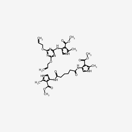 C=CCOc1nc(Nc2c[nH]c(C)c2C(=O)OC)nc(OCC=C)n1.COC(=O)c1c(NC(=O)CCCCC(=O)Nc2c[nH]c(C)c2C(=O)OC)c[nH]c1C